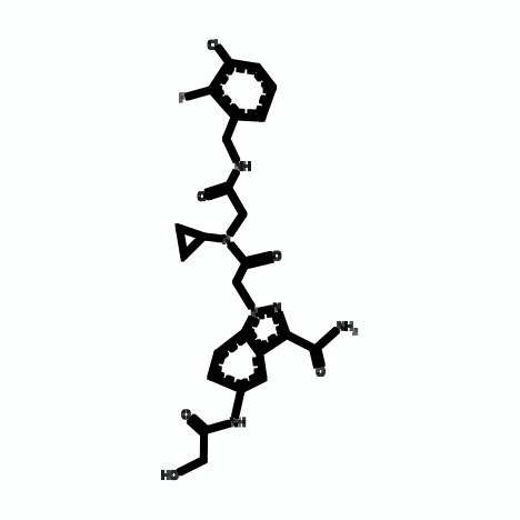 NC(=O)c1nn(CC(=O)N(CC(=O)NCc2cccc(Cl)c2F)C2CC2)c2ccc(NC(=O)CO)cc12